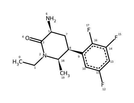 CCN1C(=O)[C@@H](N)C[C@@H](c2cc(F)cc(F)c2F)[C@H]1C